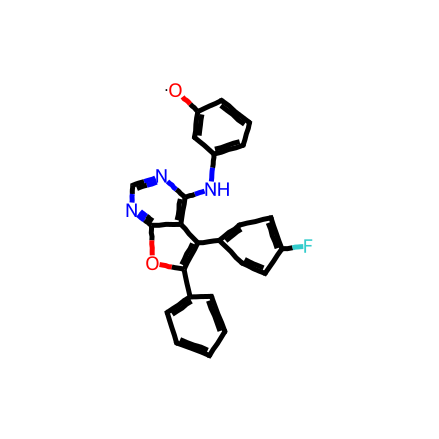 [O]c1cccc(Nc2ncnc3oc(-c4ccccc4)c(-c4ccc(F)cc4)c23)c1